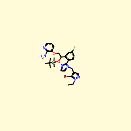 CCn1ncc(Cn2ccnc2-c2ccc(F)cc2C(COc2cccnc2N)O[Si](C)(C)C(C)(C)C)c1Br